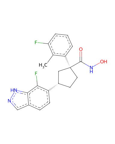 Cc1c(F)cccc1[C@]1(C(=O)NO)CC[C@H](c2ccc3cn[nH]c3c2F)C1